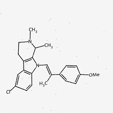 COc1ccc(C(C)=Cn2c3c(c4cc(Cl)ccc42)CCN(C)C3C)cc1